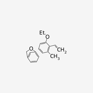 C=Cc1c(C)cccc1OCC.c1cc2cc(c1)OC2